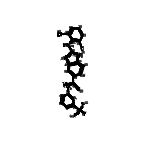 O=C(Nc1cccc(C(F)(F)F)c1)c1ccc2[nH]c(Nc3c(Cl)cccc3Cl)nc2c1